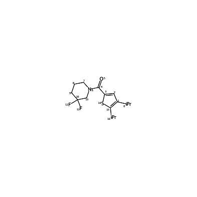 CC(C)c1cc(C(=O)N2CCCC(F)(F)C2)sc1C(C)C